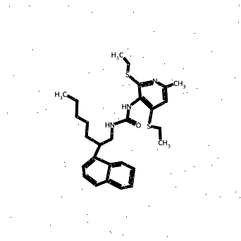 CCCCCC(CNC(=O)Nc1c(SCC)cc(C)nc1SCC)c1cccc2ccccc12